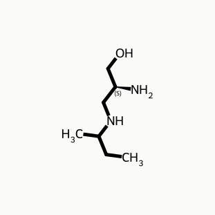 CCC(C)NC[C@H](N)CO